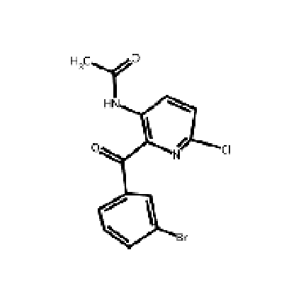 CC(=O)Nc1ccc(Cl)nc1C(=O)c1cccc(Br)c1